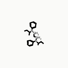 CCC(C)N([SiH2]C[SiH2]N(c1ccccc1)C(C)CC)c1ccccc1